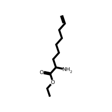 C=CCCCCCC(N)C(=O)OCC